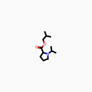 CC(C)COC(=O)C1CCCN1C(C)C